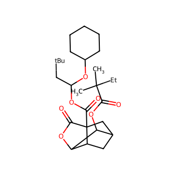 CCC(C)(C)C(=O)OC1C2CC3C1OC(=O)C3(C(=O)OC(CC(C)(C)C)OC1CCCCC1)C2